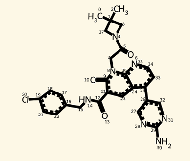 CC1(C)CN(C(=O)Cn2c(=O)c(C(=O)NCc3ccc(Cl)cc3)cc3c(-c4cnc(N)nc4)ccnc32)C1